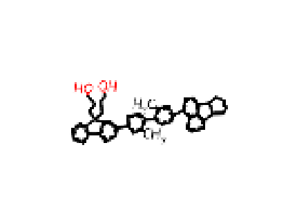 Cc1cc(-c2ccc3c(c2)C(CCCO)(CCCO)c2ccccc2-3)ccc1-c1ccc(-c2ccc3c4c(cccc24)C2=CC=CCC23)cc1C